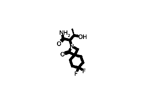 C[C@@H](O)C(C(N)=O)N1CC2(CCC(F)(F)CC2)C1=O